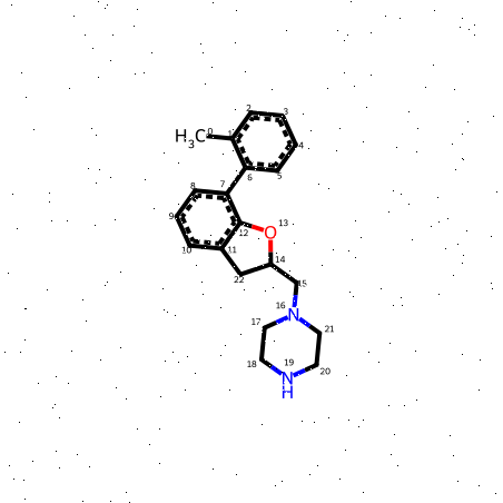 Cc1ccccc1-c1cccc2c1OC(CN1CCNCC1)C2